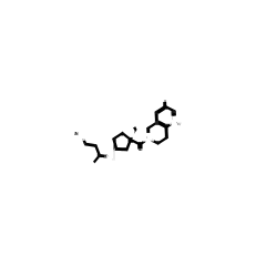 CCOCCC(C)N[C@@H]1CC[C@](CC(C)C)(C(=O)N2CCc3c(cc(C(F)(F)F)c[n+]3[O-])C2)C1